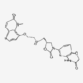 Cn1c(=O)ccc2nccc(OCCNCC3CN(c4ccc5c(n4)NC(=O)CO5)C(=O)O3)c21